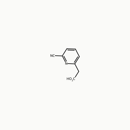 N#Cc1cccc(CC(=O)O)n1